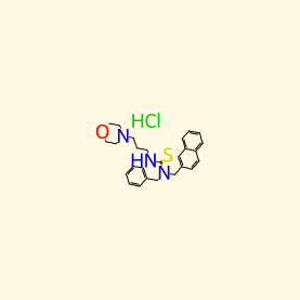 Cl.S=C(NCCCN1CCOCC1)N(Cc1ccccc1)Cc1ccc2ccccc2c1